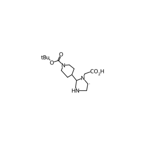 CC(C)(C)OC(=O)N1CCC(C2CNC[CH]N2CC(=O)O)CC1